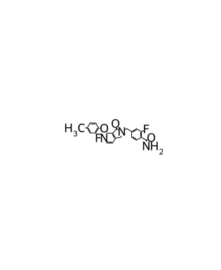 Cc1ccc(Oc2nccc3c2C(=O)N(Cc2ccc(C(N)=O)c(F)c2)C3)c(F)c1